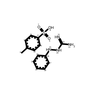 Cc1ccc(S(=O)(=O)O)cc1.N=C(N)NNc1ccccc1